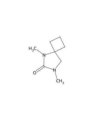 CN1CC2(CCC2)N(C)C1=O